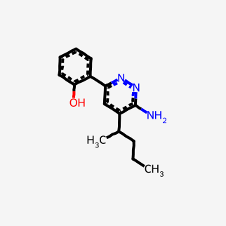 CCCC(C)c1cc(-c2ccccc2O)nnc1N